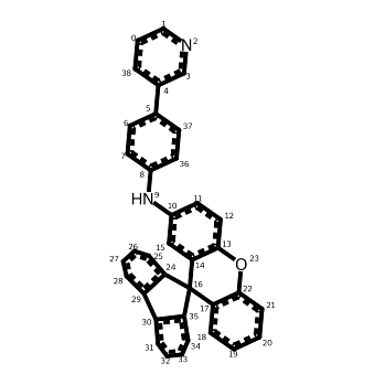 c1cncc(-c2ccc(Nc3ccc4c(c3)C3(c5ccccc5O4)c4ccccc4-c4ccccc43)cc2)c1